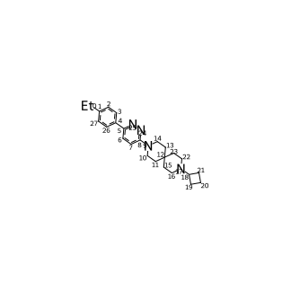 CCc1ccc(-c2ccc(N3CCC4(CC3)CCN(C3CCC3)CC4)nn2)cc1